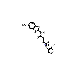 CC(=O)C1=C(/N=C(\C)SCC(=O)Nc2nc3ccc(C)cc3s2)CCS1